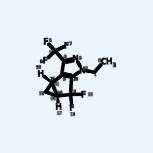 CCn1nc(C(F)(F)F)c2c1C(F)(F)[C@@H]1C[C@H]21